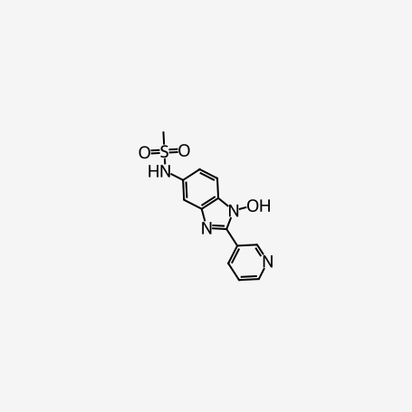 CS(=O)(=O)Nc1ccc2c(c1)nc(-c1cccnc1)n2O